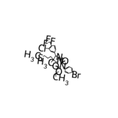 CCOC(=O)N(C(=O)N1CC(C)(CCCSC)C(c2ccc(C(F)(F)F)c(Cl)c2)=N1)c1ccc(Br)cc1